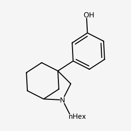 CCCCCCN1CC2(c3cccc(O)c3)CCCC1C2